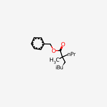 CCCC(C)(C[C@H](C)CC)C(=O)OCc1ccccc1